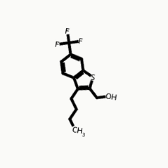 CCCCc1c(CO)sc2cc(C(F)(F)F)ccc12